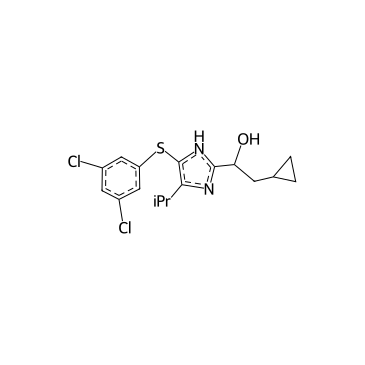 CC(C)c1nc(C(O)CC2CC2)[nH]c1Sc1cc(Cl)cc(Cl)c1